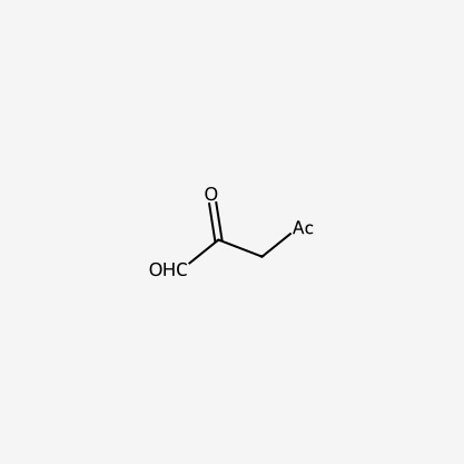 CC(=O)CC(=O)C=O